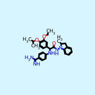 CCOc1cc(C(Nc2ccc(C(=N)N)cc2)C(=O)NN2c3ccccc3CC2C)ccc1OC(C)C